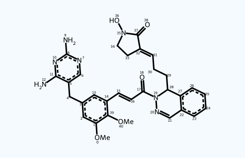 COc1cc(Cc2cnc(N)nc2N)cc(C=CC(=O)N2N=Cc3ccccc3C2CCC=C2CCN(O)C2=O)c1OC